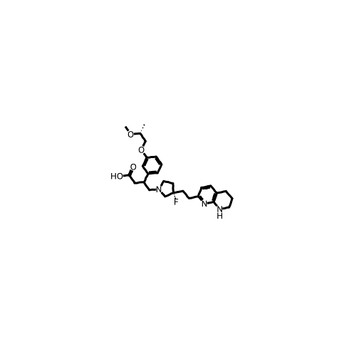 CO[C@H](C)COc1cccc(C(CC(=O)O)CN2CC[C@@](F)(CCc3ccc4c(n3)NCCC4)C2)c1